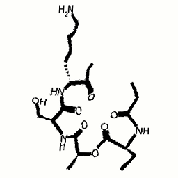 CCC(=O)N[C@@H](CC)C(=O)O[C@@H](C)C(=O)N[C@@H](CO)C(=O)N[C@H](CCCCN)C(C)=O